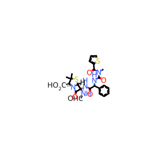 CN(C(=O)NC(C(=O)N[C@]1(NC=O)C(=O)N2[C@@H](C(=O)O)C(C)(C)S[C@@H]21)c1ccccc1)C(=O)c1cccs1